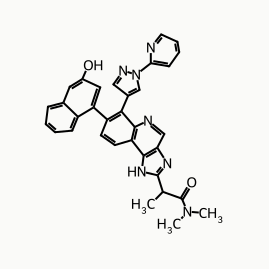 CC(C(=O)N(C)C)c1nc2cnc3c(-c4cnn(-c5ccccn5)c4)c(-c4cc(O)cc5ccccc45)ccc3c2[nH]1